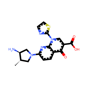 C[C@H]1CN(c2ccc3c(=O)c(C(=O)O)cn(-c4nccs4)c3n2)C[C@@H]1N